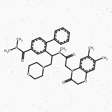 Cc1cc2c(cc1C)N(CC(=O)N(C)C(CN1CCOCC1)c1cc(C(=O)N(C)C)ccc1-c1ccccc1)C(=O)CO2